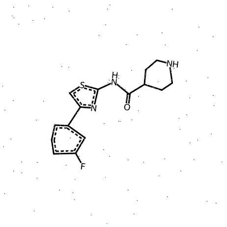 O=C(Nc1nc(-c2cccc(F)c2)cs1)C1CCNCC1